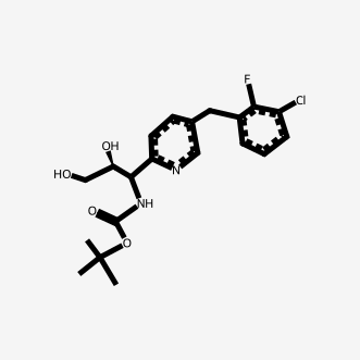 CC(C)(C)OC(=O)NC(c1ccc(Cc2cccc(Cl)c2F)cn1)[C@H](O)CO